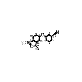 N#Cc1cccc(Oc2ccc3c(c2)C(I)OB3O)c1